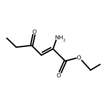 CCOC(=O)C(N)=CC(=O)CC